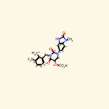 Cc1c(Cn2c(=O)c(OC(=O)O)cn(-c3ccc4c(c3)[nH]c(=O)n4C)c2=O)cccc1C(F)(F)F